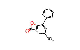 O=C1Oc2c1cc([N+](=O)[O-])cc2-c1ccccc1